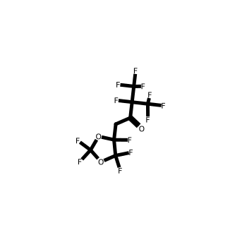 O=C(CC1(F)OC(F)(F)OC1(F)F)C(F)(C(F)(F)F)C(F)(F)F